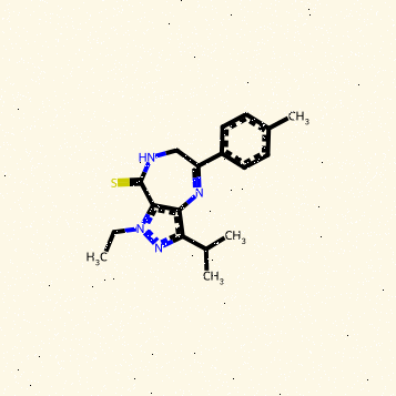 CCn1nc(C(C)C)c2c1C(=S)NCC(c1ccc(C)cc1)=N2